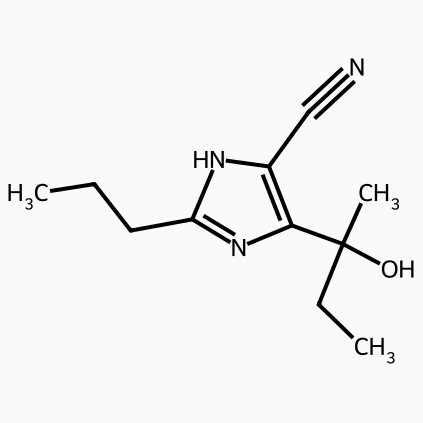 CCCc1nc(C(C)(O)CC)c(C#N)[nH]1